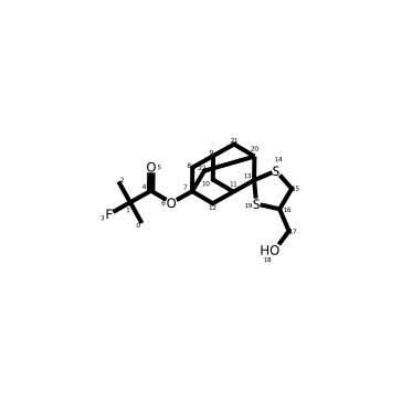 CC(C)(F)C(=O)OC12CC3CC(C1)C1(SCC(CO)S1)C(C3)C2